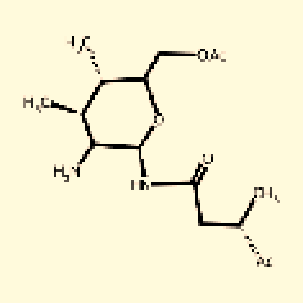 CC(=O)OCC1O[C@@H](NC(=O)C[C@H](C)C(C)=O)C(N)[C@@H](C)[C@@H]1C